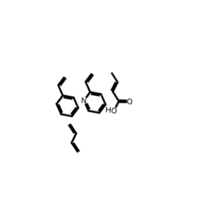 C=CC=C.C=Cc1ccccc1.C=Cc1ccccn1.CC=CC(=O)O